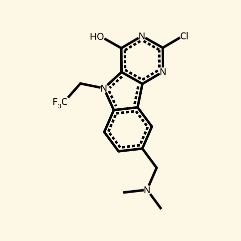 CN(C)Cc1ccc2c(c1)c1nc(Cl)nc(O)c1n2CC(F)(F)F